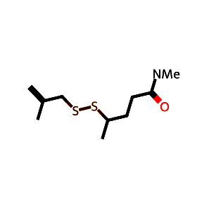 C=C(C)CSSC(C)CCC(=O)NC